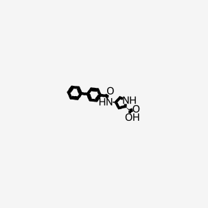 O=C(N[C@@H]1CN[C@H](C(=O)O)C1)c1ccc(-c2ccccc2)cc1